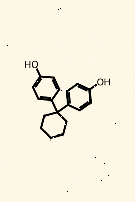 Oc1ccc(C2(c3ccc(O)cc3)CC[CH]CC2)cc1